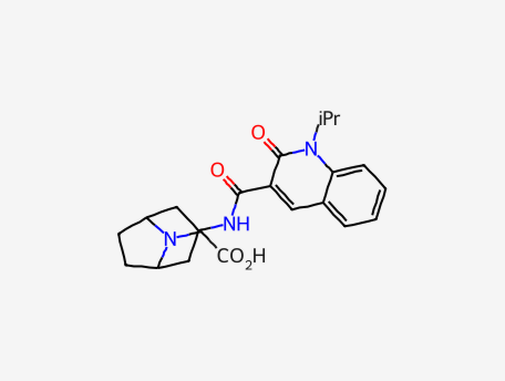 CC(C)n1c(=O)c(C(=O)NC2CC3CCC(C2)N3CC(=O)O)cc2ccccc21